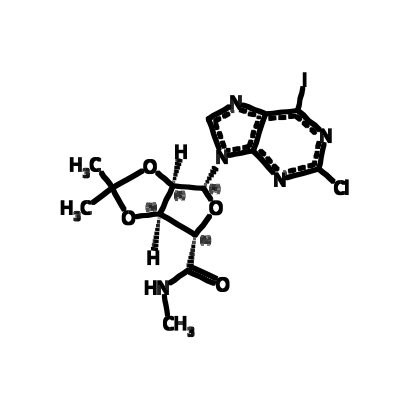 CNC(=O)[C@H]1O[C@@H](n2cnc3c(I)nc(Cl)nc32)[C@@H]2OC(C)(C)O[C@@H]21